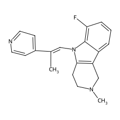 CC(=Cn1c2c(c3cccc(F)c31)CN(C)CC2)c1ccncc1